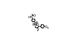 CCOc1ccc(C2ON(S(=O)(=O)c3ccc(NC(C)=O)cc3)CC=C2CC)cc1